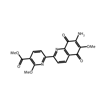 COC(=O)c1ccc(-c2ccc3c(n2)C(=O)C(N)=C(OC)C3=O)nc1OC